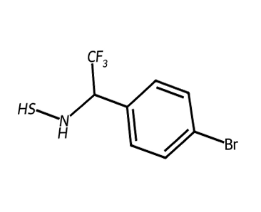 FC(F)(F)C(NS)c1ccc(Br)cc1